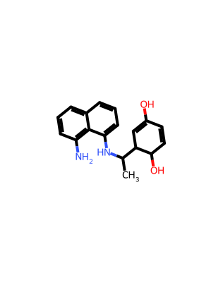 CC(Nc1cccc2cccc(N)c12)C1C=C(O)C=CC1O